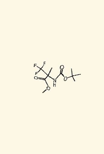 COC(=O)C(C)(NC(=O)OC(C)(C)C)C(F)(F)F